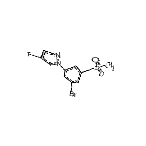 CS(=O)(=O)c1cc(Br)cc(-n2cc(F)cn2)c1